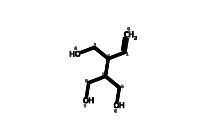 C=CC(CO)C(CO)CO